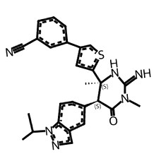 CC(C)n1ncc2cc([C@@H]3C(=O)N(C)C(=N)N[C@]3(C)c3cc(-c4cccc(C#N)c4)cs3)ccc21